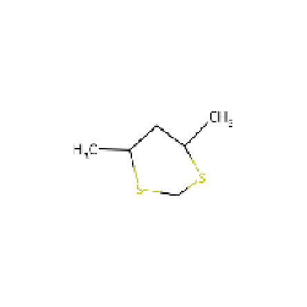 CC1CC(C)SCS1